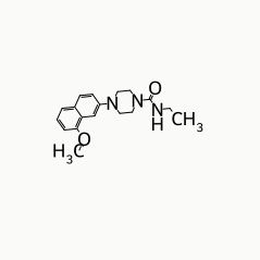 CCNC(=O)N1CCN(c2ccc3cccc(OC)c3c2)CC1